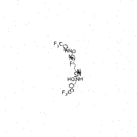 O=C(NCc1ccc(C(F)(F)F)cn1)c1cn(CC(F)CCc2nnc(NC(O)Cc3cccc(OC(F)(F)F)c3)s2)nn1